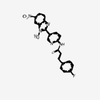 O=C(/C=C/c1ccc(F)cc1)Nc1ccc(-c2nc3ccc([N+](=O)[O-])cc3n2O)cn1